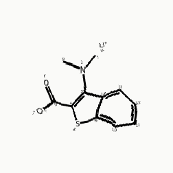 CN(C)c1c(C(=O)[O-])sc2ccccc12.[Li+]